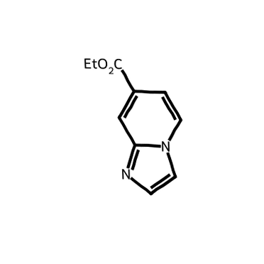 CCOC(=O)c1ccn2ccnc2c1